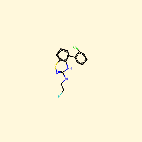 FCCNC1=NSc2cccc(-c3ccccc3Cl)c2N1